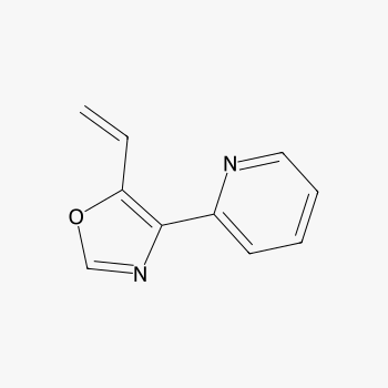 C=Cc1ocnc1-c1ccccn1